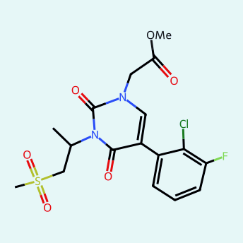 COC(=O)Cn1cc(-c2cccc(F)c2Cl)c(=O)n(C(C)CS(C)(=O)=O)c1=O